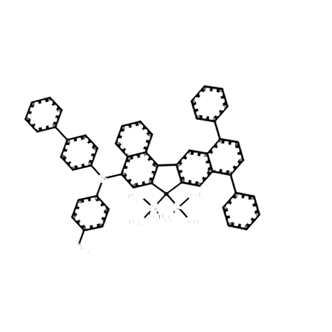 Cc1ccc(N(c2ccc(-c3ccccc3)cc2)c2cc3c(c4ccccc24)-c2cc4c(-c5ccccc5)ccc(-c5ccccc5)c4cc2C3([Si](C)(C)C)[Si](C)(C)C)cc1